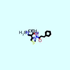 CC(=O)C(=CN(C)C)C1=CSCN1NC(=O)CCc1ccccc1